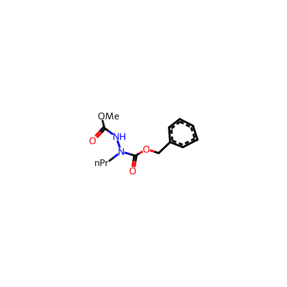 CCCN(NC(=O)OC)C(=O)OCc1ccccc1